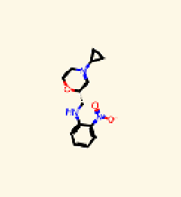 O=[N+]([O-])c1ccccc1NC[C@H]1CN(C2CC2)CCO1